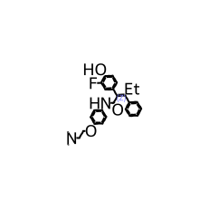 CC/C(=C(/C(=O)Nc1ccc(OCCN(C)C)cc1)c1ccc(O)c(F)c1)c1ccccc1